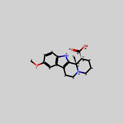 COc1ccc2[nH]c3c(c2c1)CCN1CCC[C@@H](C(=O)O)[C@@]31C